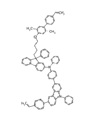 C=Cc1ccc(-c2ccc3c(c2)c2cc(-c4ccc(N(c5ccccc5)c5ccc6c(c5)C(CCCCOc5cc(C)c(-c7ccc(C=C)cc7)cc5C)(c5ccccc5)c5ccccc5-6)cc4)ccc2n3-c2ccccc2)cc1